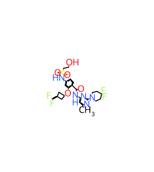 Cc1cc(NC(=O)c2ccc(NS(=O)(=O)CCO)cc2OC2CC(=C(F)F)C2)nc(N2CCC(F)(F)CC2)n1